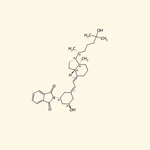 C[C@H](CCCC(C)(C)O)[C@H]1CC[C@H]2/C(=C/C=C3/C[C@@H](O)C[C@H](N4C(=O)c5ccccc5C4=O)C3)CCC[C@]12C